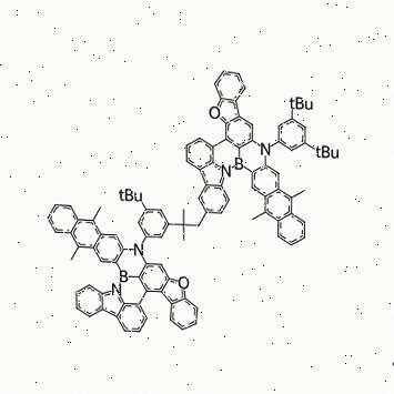 Cc1c2ccccc2c(C)c2cc3c(cc12)B1c2c(cc4c(oc5ccccc54)c2-c2cccc4c5cc(CC(C)(C)c6cc(N7c8cc9c(C)c%10ccccc%10c(C)c9cc8B8c9c7cc7oc%10ccccc%10c7c9-c7cccc9c%10ccccc%10n8c79)cc(C(C)(C)C)c6)ccc5n1c24)N3c1cc(C(C)(C)C)cc(C(C)(C)C)c1